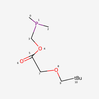 CP(C)COC(=O)COCC(C)(C)C